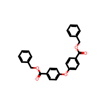 O=C(OCc1ccccc1)c1ccc(Oc2ccc(C(=O)OCc3ccccc3)cc2)cc1